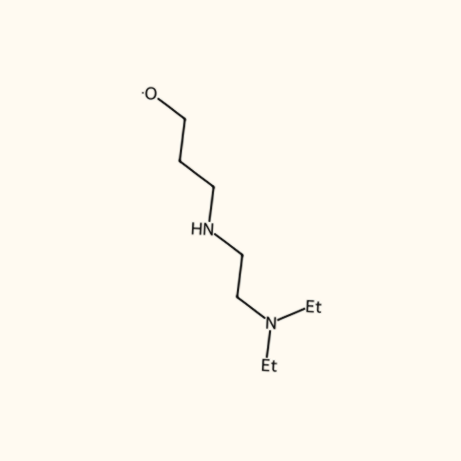 CCN(CC)CCNCCC[O]